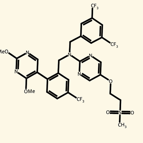 COc1ncc(-c2ccc(C(F)(F)F)cc2CN(Cc2cc(C(F)(F)F)cc(C(F)(F)F)c2)c2ncc(OCCS(C)(=O)=O)cn2)c(OC)n1